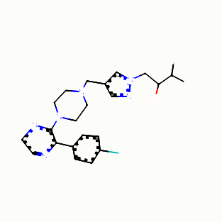 CC(C)C(O)Cn1cc(CN2CCN(c3nccnc3-c3ccc(F)cc3)CC2)cn1.Cl